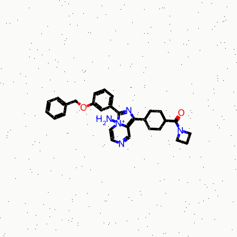 N[N+]12C=CN=CC1=C(C1CCC(C(=O)N3CCC3)CC1)N=C2c1cccc(OCc2ccccc2)c1